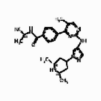 Cc1cnc(Nc2cnn(C3C[C@@H](C)N[C@H](C)C3)c2)nc1-c1ccc(C(=O)N[C@@H](C)C#N)cc1